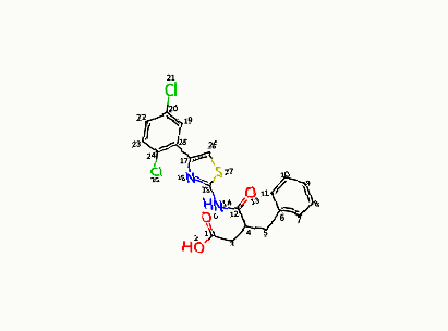 O=C(O)CC(Cc1ccccc1)C(=O)Nc1nc(-c2cc(Cl)ccc2Cl)cs1